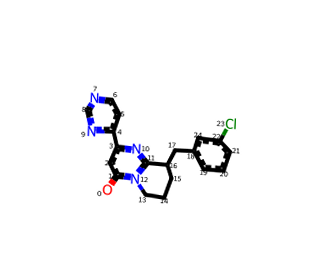 O=c1cc(-c2ccncn2)nc2n1CCCC2Cc1cccc(Cl)c1